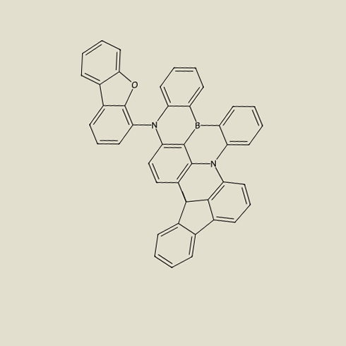 CC12c3ccccc3-c3cccc(c31)N1c3ccccc3B3c4ccccc4N(c4cccc5c4oc4ccccc45)c4ccc2c1c43